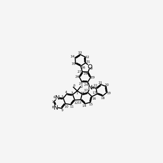 CC1(C)c2cc3ncncc3cc2-c2ccc3c4ccccc4n(-c4ccc5c(c4)oc4ccccc45)c3c21